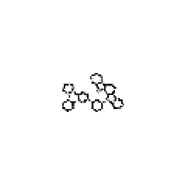 c1cc(-c2ccc3c4ccccc4c4ccccc4c3c2)cc(-n2c3ccccc3c3ccc4c5ccccc5oc4c32)c1